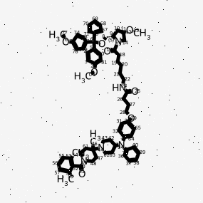 COc1ccc(C(OC[C@@H]2C[C@@H](OC)CN2C(=O)CCCCCNC(=O)CCCOc2ccc(N(c3ccccc3)C3CCN(C4(C)CCN(C(=O)c5c(C)cccc5C)CC4)CC3)cc2)(c2ccccc2)c2ccc(OC)cc2)cc1